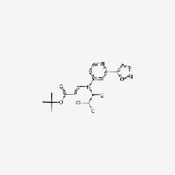 CC(C)(C)OC(=O)/C=C/N(C(=O)C(Cl)Cl)c1ccnc(-c2ccno2)c1